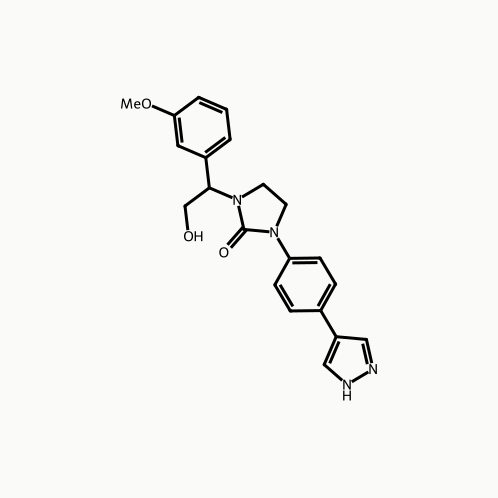 COc1cccc(C(CO)N2CCN(c3ccc(-c4cn[nH]c4)cc3)C2=O)c1